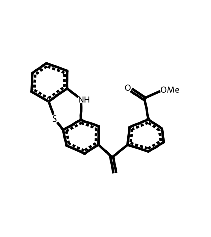 C=C(c1cccc(C(=O)OC)c1)c1ccc2c(c1)Nc1ccccc1S2